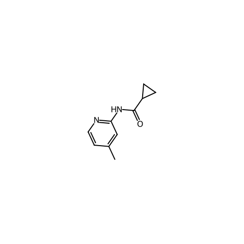 Cc1ccnc(NC(=O)C2CC2)c1